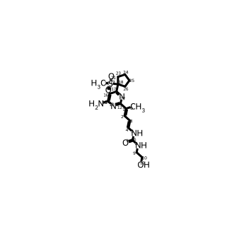 C/C(=C\C=C\NC(=O)NCCO)c1nc(N)cc(C2(S(C)(=O)=O)CCCC2)n1